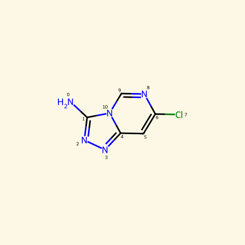 Nc1nnc2cc(Cl)ncn12